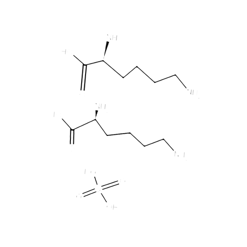 NCCCC[C@H](N)C(=O)O.NCCCC[C@H](N)C(=O)O.O=S(=O)(O)O